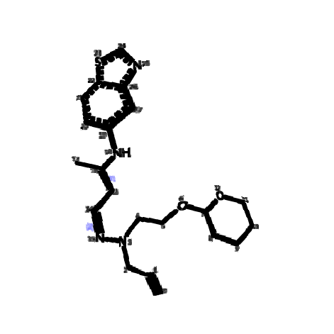 C=CCN(CCOC1CCCCO1)/N=C\C=C(/C)Nc1ccc2scnc2c1